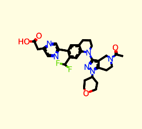 CC(=O)N1CCc2c(c(N3CCCc4cc(-c5cnc(CC(=O)O)cn5)c(C(F)F)cc43)nn2C2CCOCC2)C1